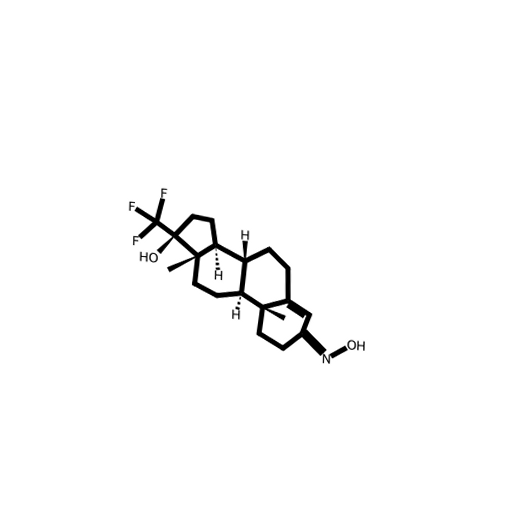 C[C@]12CC/C(=N/O)C=C1CC[C@@H]1[C@@H]2CC[C@@]2(C)[C@H]1CC[C@@]2(O)C(F)(F)F